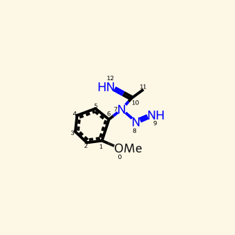 COc1ccccc1N(N=N)C(C)=N